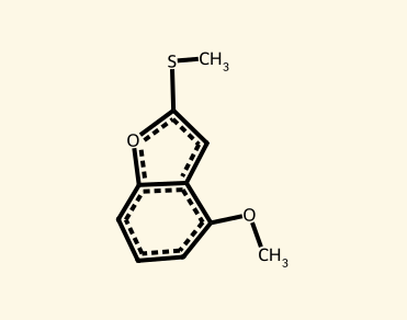 COc1cccc2oc(SC)cc12